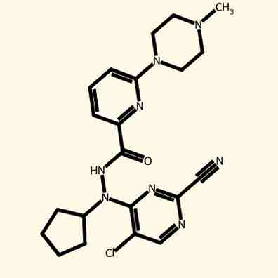 CN1CCN(c2cccc(C(=O)NN(c3nc(C#N)ncc3Cl)C3CCCC3)n2)CC1